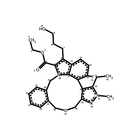 CCOC(=O)c1c(CCCO)c2ccc(F)c3c2n1Cc1ccccc1COCc1nn(C)c(CC)c1-3